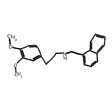 COc1ccc(CCNCc2cccc3ccccc23)cc1OC